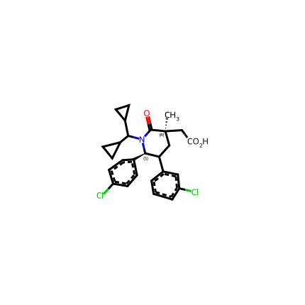 C[C@]1(CC(=O)O)CC(c2cccc(Cl)c2)[C@@H](c2ccc(Cl)cc2)N(C(C2CC2)C2CC2)C1=O